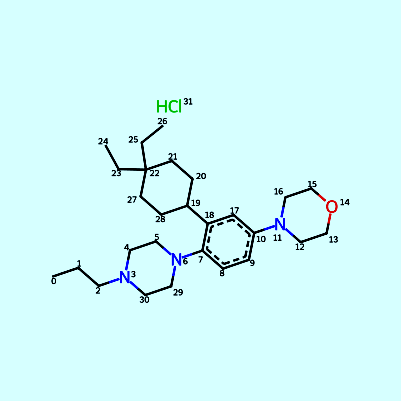 CCCN1CCN(c2ccc(N3CCOCC3)cc2C2CCC(CC)(CC)CC2)CC1.Cl